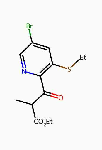 CCOC(=O)C(C)C(=O)c1ncc(Br)cc1SCC